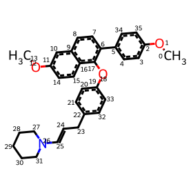 COc1ccc(-c2ccc3cc(OC)ccc3c2Oc2ccc(C/C=C/N3CCCCC3)cc2)cc1